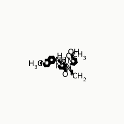 C=CCn1c(=O)c2cnc(Nc3ccc4c(c3)CCN(C)C4)nc2n1-c1cccc(C(C)(C)O)n1